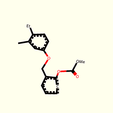 CCc1ccc(OCc2ccccc2OC(=O)OC)cc1C